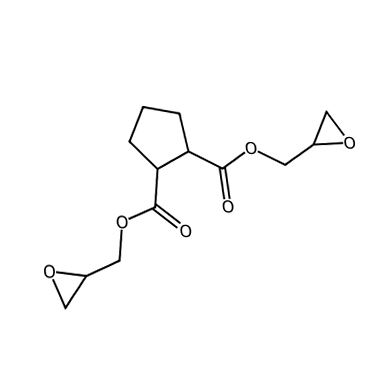 O=C(OCC1CO1)C1CCCC1C(=O)OCC1CO1